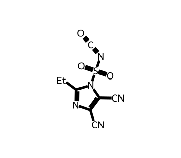 CCc1nc(C#N)c(C#N)n1S(=O)(=O)N=C=O